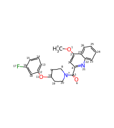 COc1cc(C(=O)N2CCC(Oc3cccc(F)c3)CC2)nc2ccccc12